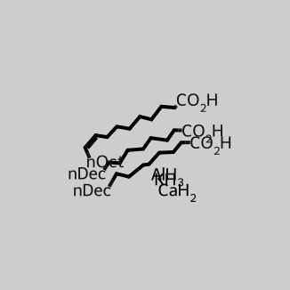 CCCCCCCC/C=C\CCCCCCCC(=O)O.CCCCCCCCCCCCCCCCCC(=O)O.CCCCCCCCCCCCCCCCCC(=O)O.[AlH3].[CaH2].[KH]